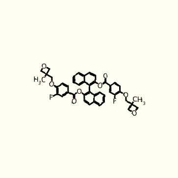 CC1(COc2ccc(C(=O)Oc3ccc4ccccc4c3-c3c(OC(=O)c4ccc(OCC5(C)COC5)c(F)c4)ccc4ccccc34)cc2F)COC1